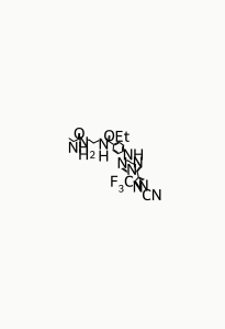 CCc1cc(Nc2nccn3c(-c4cn(CC#N)nc4C(F)(F)F)cnc23)ccc1C(=O)NCCCNC(=O)C(C)N